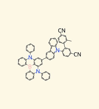 Cc1cc(C#N)ccc1-c1cc(C#N)ccc1-n1c2ccccc2c2cc(-c3cc4c5c(c3)N(c3ccccc3)c3ccccc3B5c3ccccc3N4c3ccccc3)ccc21